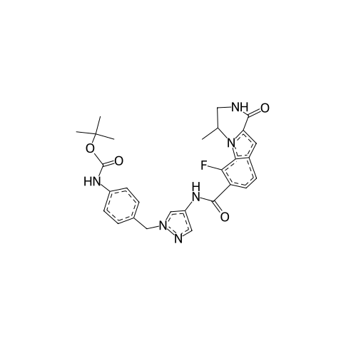 CC1CNC(=O)c2cc3ccc(C(=O)Nc4cnn(Cc5ccc(NC(=O)OC(C)(C)C)cc5)c4)c(F)c3n21